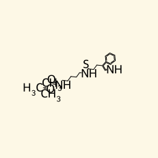 CC(C)(C)OC(=O)NCCCCCNC(=S)CCc1c[nH]c2ccccc12